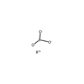 [B+3].[O-]B([O-])[O-]